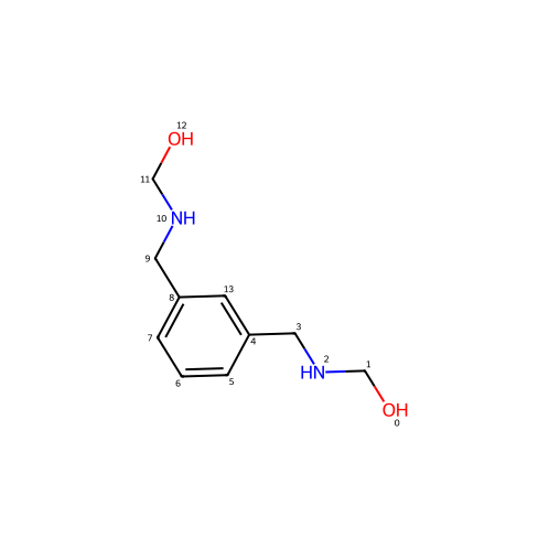 OCNCc1cccc(CNCO)c1